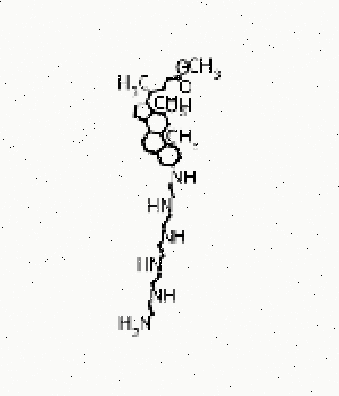 COC(=O)CC[C@@H](C)[C@H]1CCC2C3CCC4C[C@@H](NCCNCCNCCNCCNCCN)CC[C@]4(C)C3C[C@H](O)[C@@]21C